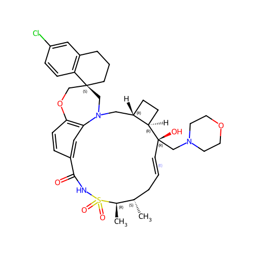 C[C@@H]1[C@@H](C)C/C=C/[C@@](O)(CN2CCOCC2)[C@@H]2CC[C@H]2CN2C[C@@]3(CCCc4cc(Cl)ccc43)COc3ccc(cc32)C(=O)NS1(=O)=O